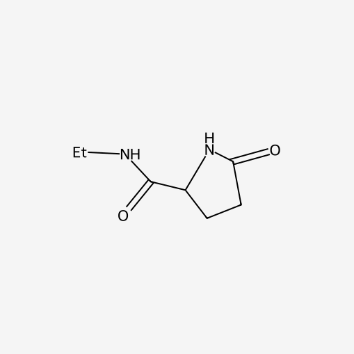 CCNC(=O)C1CCC(=O)N1